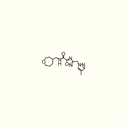 Cc1cnn(Cc2noc(C(=O)NCC3CCCOCC3)n2)c1